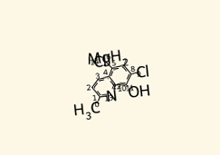 Cc1ccc2c(Cl)cc(Cl)c(O)c2n1.[MgH2]